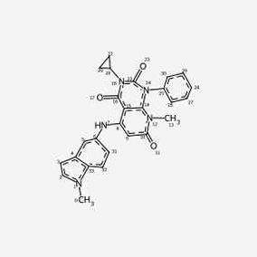 Cn1ccc2cc(Nc3cc(=O)n(C)c4c3c(=O)n(C3CC3)c(=O)n4-c3ccccc3)ccc21